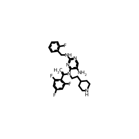 C=C(c1c(F)cc(F)cc1F)N(CCC1CCNCC1)c1nc(NCc2ccccc2F)ncc1N